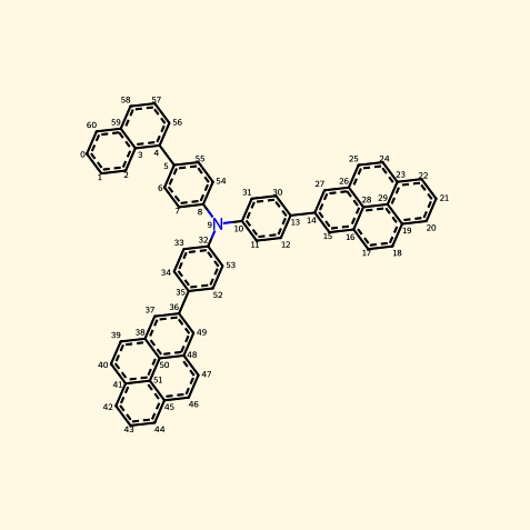 c1ccc2c(-c3ccc(N(c4ccc(-c5cc6ccc7cccc8ccc(c5)c6c78)cc4)c4ccc(-c5cc6ccc7cccc8ccc(c5)c6c78)cc4)cc3)cccc2c1